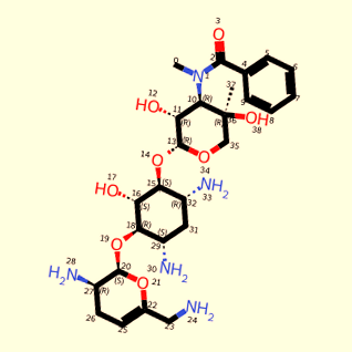 CN(C(=O)c1ccccc1)[C@@H]1[C@@H](O)[C@@H](O[C@@H]2[C@@H](O)[C@H](O[C@H]3OC(CN)=CC[C@H]3N)[C@@H](N)C[C@H]2N)OC[C@]1(C)O